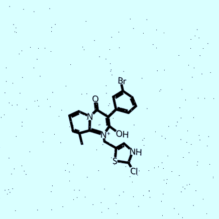 Cc1cccn2c(=O)c(-c3cccc(Br)c3)c(O)[n+](CC3=CNC(Cl)S3)c12